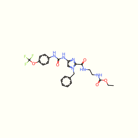 CCOC(=O)NCCNC(=O)c1nc(NC(=O)Nc2ccc(OC(F)(F)F)cc2)cn1Cc1ccccc1